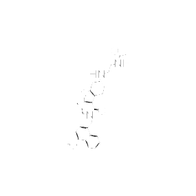 COc1ccc(Cn2cnc3sc4c(c3c2=O)CCC(NCCNC(C)=O)C4)c2ccccc12